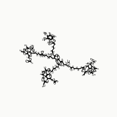 CC(=O)NC1C(OCCCCCC(=O)NCCCCC(NC(=O)CCCCCOC2OC(COC(C)=O)C(OC(C)=O)C(OC(C)=O)C2NC(C)=O)C(=O)NC(CCCCNC(=O)CCCCCOC2OC(COC(C)=O)C(OC(C)=O)C(OC(C)=O)C2NC(C)=O)C(=O)NCCCCCC(=O)Oc2c(F)c(F)c(F)c(F)c2F)OC(COC(C)=O)C(OC(C)=O)C1OC(C)=O